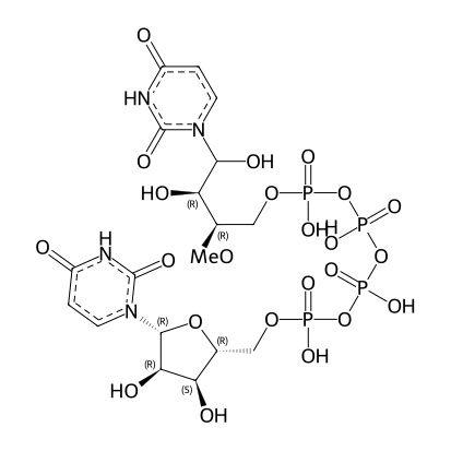 CO[C@H](COP(=O)(O)OP(=O)(O)OP(=O)(O)OP(=O)(O)OC[C@H]1O[C@@H](n2ccc(=O)[nH]c2=O)[C@H](O)[C@@H]1O)[C@@H](O)C(O)n1ccc(=O)[nH]c1=O